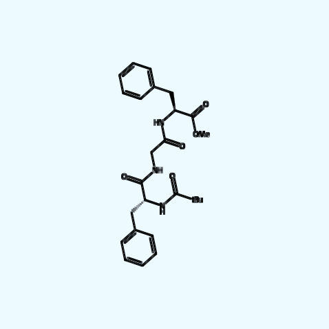 COC(=O)[C@H](Cc1ccccc1)NC(=O)CNC(=O)[C@@H](Cc1ccccc1)NC(=O)C(C)(C)C